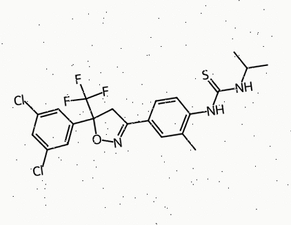 Cc1cc(C2=NOC(c3cc(Cl)cc(Cl)c3)(C(F)(F)F)C2)ccc1NC(=S)NC(C)C